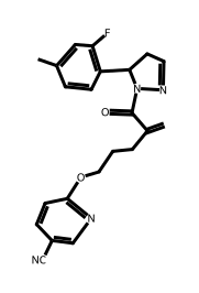 C=C(CCCOc1ccc(C#N)cn1)C(=O)N1N=CCC1c1ccc(C)cc1F